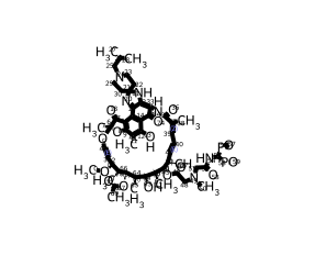 CO[C@H]1/C=C/O[C@@]2(C)Oc3c(C)c(O)c4c(c3C2=O)C2=NC3(CCN(CC(C)C)CC3)NC2=C(NC(=O)/C(C)=C\C=C\[C@H](C)[C@H](OC(=O)CN(C)CC(=O)NC(P=O)P=O)[C@@H](C)[C@@H](O)[C@@H](C)[C@H](OC(C)=O)[C@@H]1C)C4=O